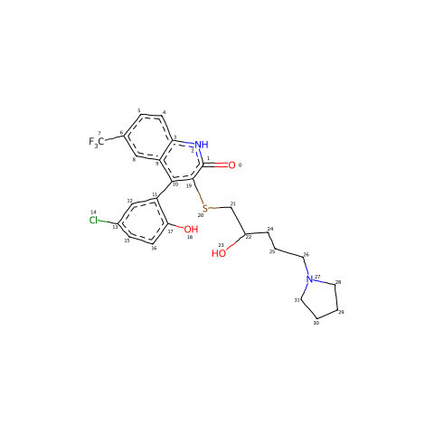 O=c1[nH]c2ccc(C(F)(F)F)cc2c(-c2cc(Cl)ccc2O)c1SCC(O)CCCN1CCCC1